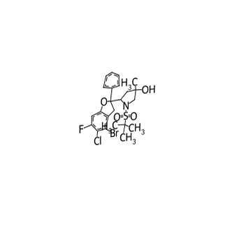 CC1(O)CC(C2(c3ccccc3)Cc3c(cc(F)c(Cl)c3Br)O2)N(S(=O)(=O)C(C)(C)C)C1